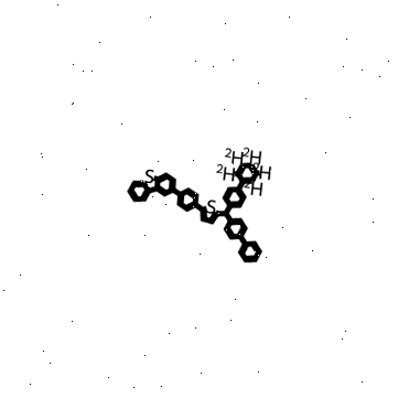 [2H]c1c([2H])c([2H])c(-c2ccc(C(c3ccc(-c4ccccc4)cc3)c3ccc(-c4ccc(-c5ccc6sc7ccccc7c6c5)cc4)s3)cc2)c([2H])c1[2H]